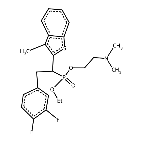 CCOP(=O)(OCCN(C)C)C(Cc1ccc(F)c(F)c1)c1sc2ccccc2c1C